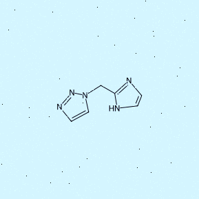 c1cn(Cc2ncc[nH]2)nn1